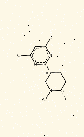 CC(=O)N1C[C@H](c2nc(Cl)cc(Cl)n2)CC[C@@H]1C